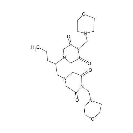 CCCC(CN1CC(=O)N(CN2CCOCC2)C(=O)C1)N1CC(=O)N(CN2CCOCC2)C(=O)C1